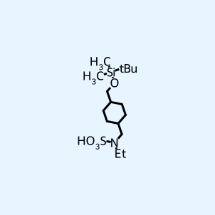 CCN(CC1CCC(CO[Si](C)(C)C(C)(C)C)CC1)S(=O)(=O)O